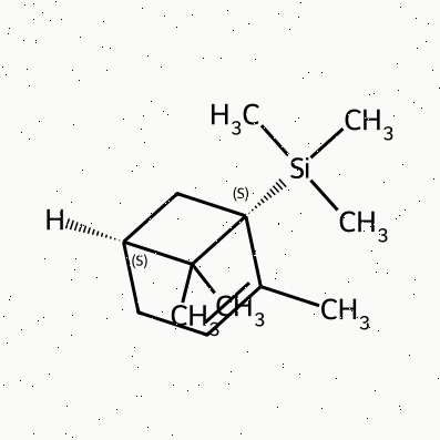 CC1=CC[C@H]2C[C@]1([Si](C)(C)C)C2(C)C